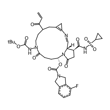 C=CC(=O)C1CCN(NC(=O)OC(C)(C)C)C(=O)CC[C@@H](OC(=O)N2Cc3cccc(F)c3C2)N2C(=O)C[C@H](C(=O)NS(=O)(=O)C3CC3)[C@H]2/C=N\C2=C(C2)C1